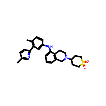 Cc1ccc(-c2cc(Nc3cccc4c3CCN(C3CCS(=O)(=O)CC3)C4)ccc2C)nc1